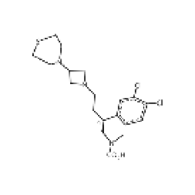 CN(C[C@@H](CCN1CC(N2CCSCC2)C1)c1ccc(Cl)c(Cl)c1)C(=O)O